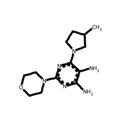 CC1CCN(c2nc(N3CCOCC3)nc(N)c2N)C1